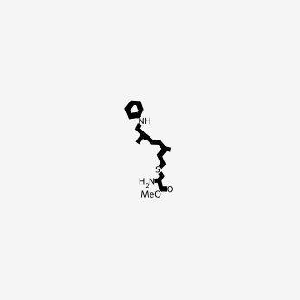 COC(=O)C(N)CSCC=C(C)CCC=C(C)CNc1ccccc1